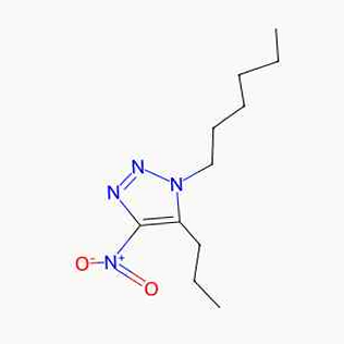 CCCCCCn1nnc([N+](=O)[O-])c1CCC